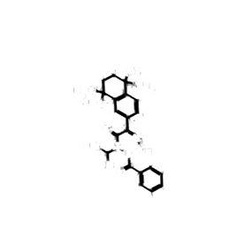 CCC(O)N(OC(=O)c1ccccc1)C(=O)C(=NO)c1ccc2c(c1)C(C)(C)CCC2(C)C